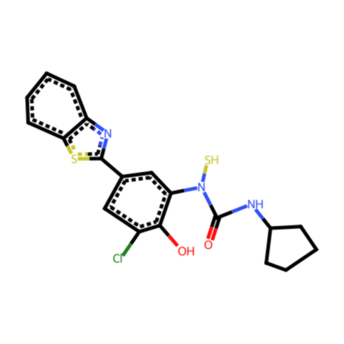 O=C(NC1CCCC1)N(S)c1cc(-c2nc3ccccc3s2)cc(Cl)c1O